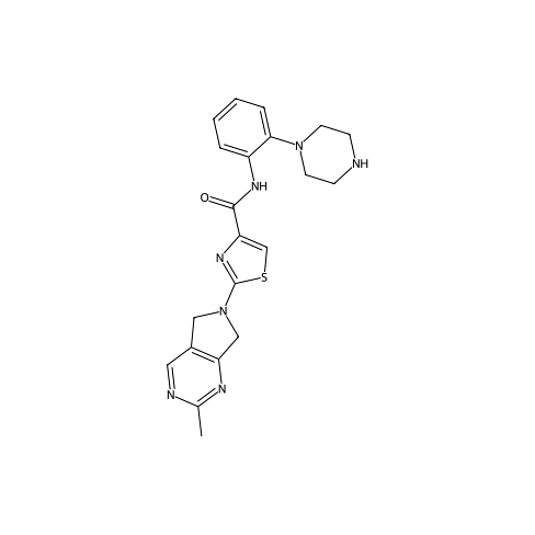 Cc1ncc2c(n1)CN(c1nc(C(=O)Nc3ccccc3N3CCNCC3)cs1)C2